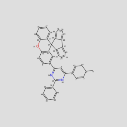 CC1C=CC(c2cc(-c3ccc4c(c3)C3(c5ccccc5O4)c4ccccc4-c4ccccc43)nc(-c3ccccc3)n2)=CC1